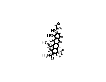 CN(C)[C@@H]1C(O)=C(C(N)=O)C(=O)[C@@]2(O)C(O)=C3C(=O)c4c(ccc(NC(=O)CBr)c4O)CC3CC12.Cl